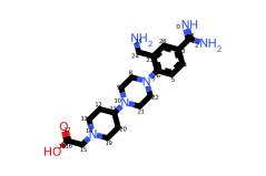 N=C(N)c1ccc(N2CCN(C3CCN(CC(=O)O)CC3)CC2)c(CN)c1